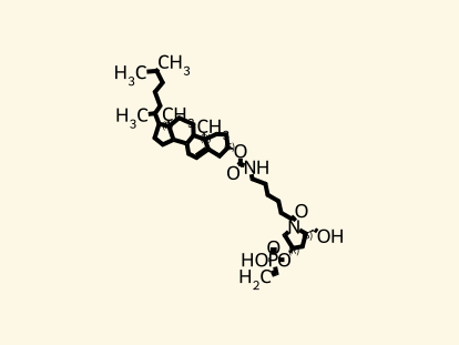 C=CP(=O)(O)O[C@@H]1C[C@@H](CO)N(C(=O)CCCCCNC(=O)O[C@H]2CC[C@@]3(C)C(=CCC4C5CCC(C(C)CCCC(C)C)[C@@]5(C)CCC43)C2)C1